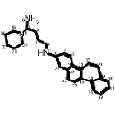 NC(CCCNc1ccc2c(ccc3c4ccccc4ccc23)c1)N1CCCCC1